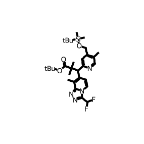 Cc1cnc(C(c2ccn3c(C(F)F)nnc3c2C)C(C)(C)C(=O)OC(C)(C)C)cc1CO[Si](C)(C)C(C)(C)C